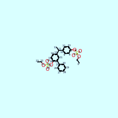 CCOS(=O)(=O)Oc1ccc(C(C)c2ccc(OS(=O)(=O)OCC)c(-c3ccccc3)c2)cc1